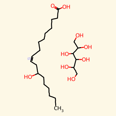 CCCCCCC(O)C/C=C\CCCCCCCC(=O)O.OCC(O)C(O)C(O)C(O)CO